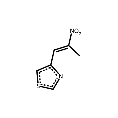 CC(=Cc1cscn1)[N+](=O)[O-]